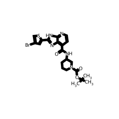 CC(C)(C)OC(=O)N1CCCC(NC(=O)c2ccnc3[nH]c(-c4cc(Br)cs4)nc23)C1